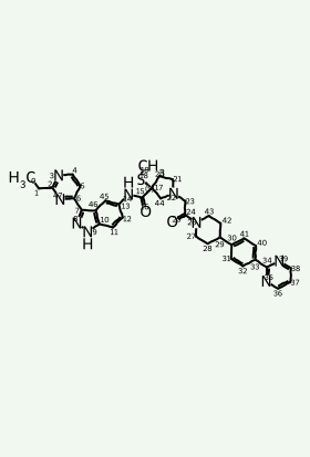 CCc1nccc(-c2n[nH]c3ccc(NC(=O)[C@]4(SC)CCN(CC(=O)N5CCC(c6ccc(-c7ncccn7)cc6)CC5)C4)cc23)n1